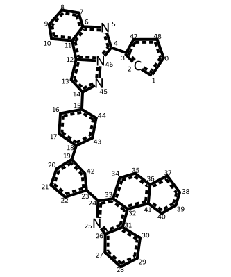 c1ccc(-c2nc3ccccc3c3cc(-c4ccc(-c5cccc(-c6nc7ccccc7c7c6ccc6ccccc67)c5)cc4)nn23)cc1